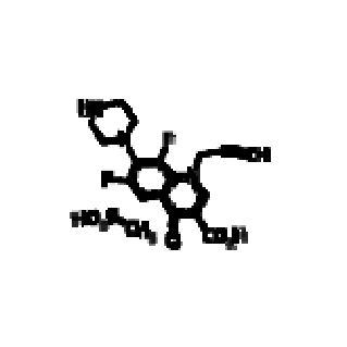 C#CCn1cc(C(=O)O)c(=O)c2cc(F)c(N3CCNCC3)c(F)c21.CS(=O)(=O)O